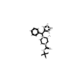 C[C@@H]1CN(C(=O)OC(C)(C)C)CCN1C(c1ccccc1)c1nn[nH]n1